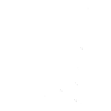 Nc1nc(-c2ccc(Cl)cc2Cl)c2cc(C(=O)Nc3ccc(F)cc3)sc2n1